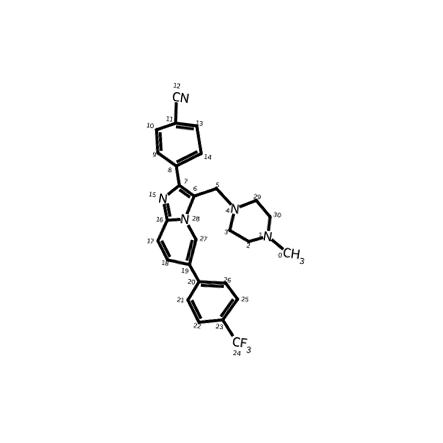 CN1CCN(Cc2c(-c3ccc(C#N)cc3)nc3ccc(-c4ccc(C(F)(F)F)cc4)cn23)CC1